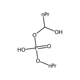 CCCOP(=O)(O)OC(O)CCC